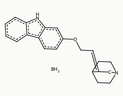 B.C(COc1ccc2c(c1)[nH]c1ccccc12)=C1CN2CCC1CC2